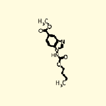 CCCCOC(=O)Nn1cnc2cc(C(=O)OC)ccc21